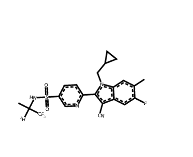 [2H]C(C)(NS(=O)(=O)c1ccc(-c2c(C#N)c3cc(F)c(C)cc3n2CC2CC2)nc1)C(F)(F)F